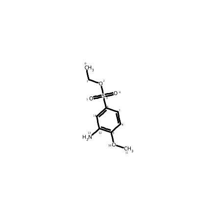 CCOS(=O)(=O)c1ccc(OC)c(N)c1